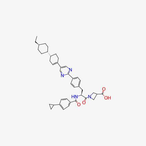 CC[C@H]1CC[C@H](C2CC=C(c3cnc(-c4ccc(C[C@H](NC(=O)c5ccc(C6CC6)cc5)C(=O)N5CC(C(=O)O)C5)cc4)nc3)CC2)CC1